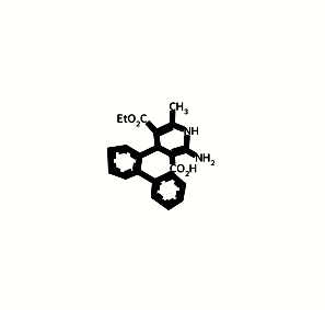 CCOC(=O)C1=C(C)NC(N)=C(C(=O)O)C1c1ccccc1-c1ccccc1